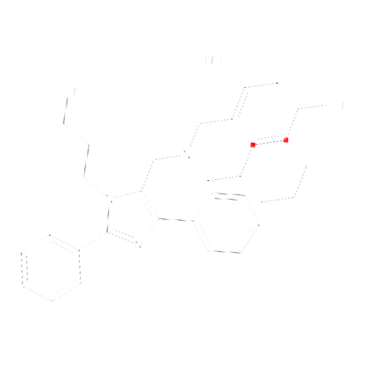 CCCCn1c(-c2ccccc2)nc(-c2ccccc2)c1CN(Cc1ccc(C)cc1C)CC1CCCCC1